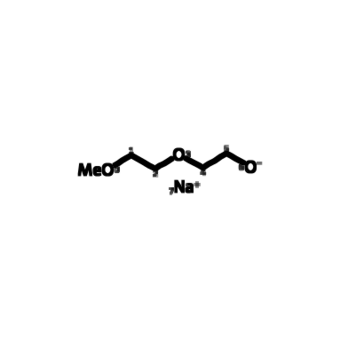 COCCOCC[O-].[Na+]